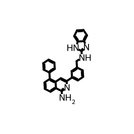 Nc1nc(-c2cccc(CNc3nc4ccccc4[nH]3)c2)cc2c(-c3ccccc3)cccc12